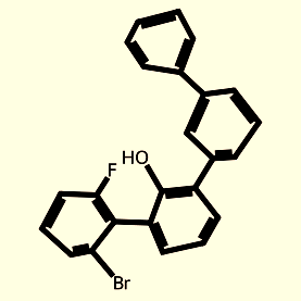 Oc1c(-c2cccc(-c3ccccc3)c2)cccc1-c1c(F)cccc1Br